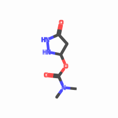 CN(C)C(=O)OC1CC(=O)NN1